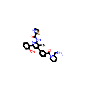 N#Cc1c(-c2cccc(C(=O)N3CCCCC3CN)c2)cc(-c2ccccc2O)nc1NC(=O)c1nccs1